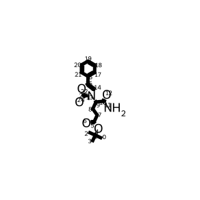 CC(C)(C)OC(=O)CCC(C(N)=O)n1cc(-c2ccccc2)oc1=O